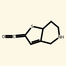 O=C=C1C=C2CNCCC2S1